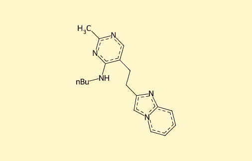 CCCCNc1nc(C)ncc1CCc1cn2ccccc2n1